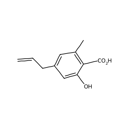 C=CCc1cc(C)c(C(=O)O)c(O)c1